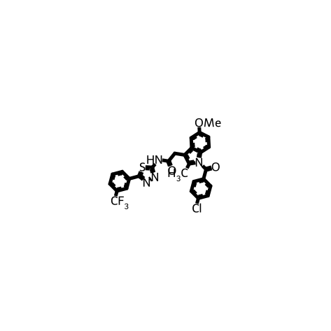 COc1ccc2c(c1)c(CC(=O)Nc1nnc(-c3cccc(C(F)(F)F)c3)s1)c(C)n2C(=O)c1ccc(Cl)cc1